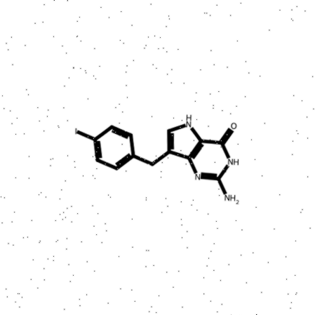 Nc1nc2c(Cc3ccc(I)cc3)c[nH]c2c(=O)[nH]1